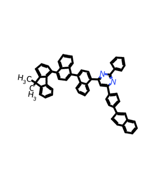 CC1(C)c2ccccc2-c2c(-c3ccc(-c4ccc(-c5cc(-c6ccc(-c7ccc8ccccc8c7)cc6)nc(-c6ccccc6)n5)c5ccccc45)c4ccccc34)cccc21